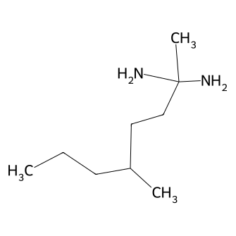 CCCC(C)CCC(C)(N)N